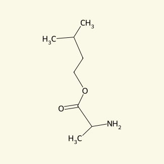 CC(C)CCOC(=O)C(C)N